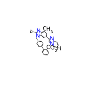 Cc1cc(-c2cn3ccccc3n2)cc2c1nc(C1CC1)n2Cc1ccc(-c2ccccc2C(=O)O)cc1